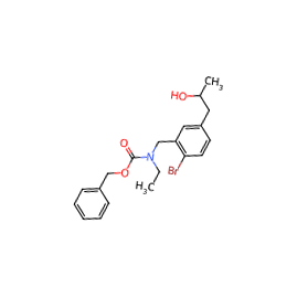 CCN(Cc1cc(CC(C)O)ccc1Br)C(=O)OCc1ccccc1